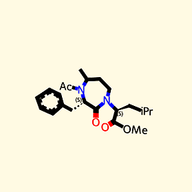 COC(=O)[C@H](CC(C)C)N1CCC(C)N(C(C)=O)[C@@H](Cc2ccccc2)C1=O